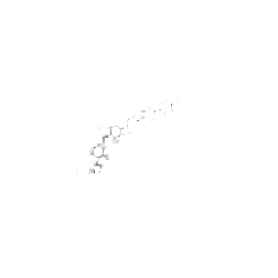 C=CCCC1CCC(C2CCC(C3CCC(c4ccc(C(F)(F)Oc5cc(F)c(C(F)(F)OC(F)(F)F)c(F)c5)c(F)c4)CC3)CC2)CC1